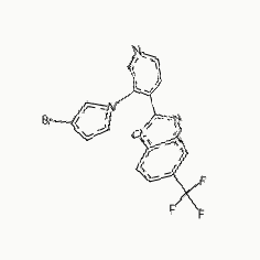 FC(F)(F)c1ccc2oc(-c3ccncc3-n3ccc(Br)c3)nc2c1